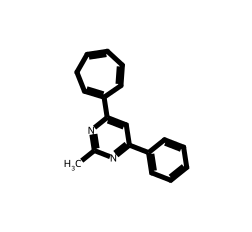 Cc1nc(C2=CCC=CC=C2)cc(-c2ccccc2)n1